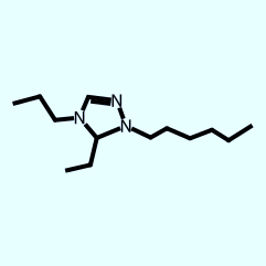 CCCCCCN1N=CN(CCC)C1CC